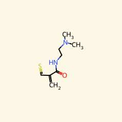 C=C(C=S)C(=O)NCCN(C)C